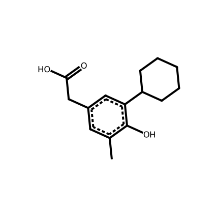 Cc1cc(CC(=O)O)cc(C2CCCCC2)c1O